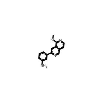 COc1nccc2cnc(-c3cccc(N)c3)cc12